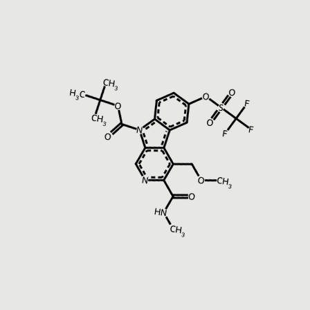 CNC(=O)c1ncc2c(c1COC)c1cc(OS(=O)(=O)C(F)(F)F)ccc1n2C(=O)OC(C)(C)C